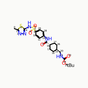 Cc1nnc(NS(=O)(=O)c2ccc(NC(=O)[C@H]3CC[C@H](CNC(=O)OC(C)(C)C)CC3)cc2)s1